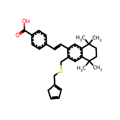 CC1(C)CCC(C)(C)c2cc(CSCC3=CC=CC3)c(/C=C/c3ccc(C(=O)O)cc3)cc21